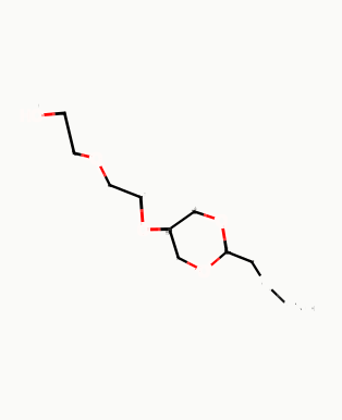 CCCCCCCCCCCC1OCC(OCCOCCO)CO1